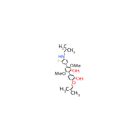 COc1cc(-c2ccc(NCC=C(C)C)c(F)c2)c(OC)c(O)c1-c1ccc(OCC=C(C)C)c(O)c1